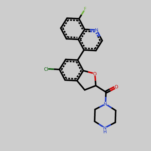 O=C(C1Cc2cc(Cl)cc(-c3ccnc4c(F)cccc34)c2O1)N1CCNCC1